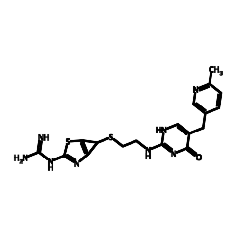 Cc1ccc(Cc2c[nH]c(NCCSC3c4nc(NC(=N)N)sc43)nc2=O)cn1